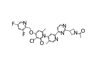 CC(=O)N1CC(c2nccc(-c3cc(-n4c(C)cc(OCc5ncc(F)cc5F)c(Cl)c4=O)c(C)cn3)n2)C1